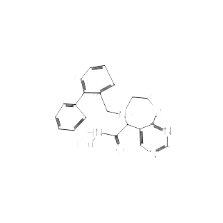 CC(C)(C)NC(=O)C1c2cncnc2OCCN1Cc1ccccc1-c1ccccc1